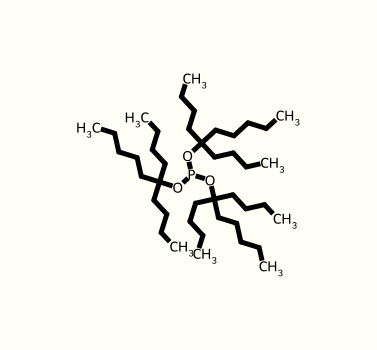 CCCCCC(CCCC)(CCCC)OP(OC(CCCC)(CCCC)CCCCC)OC(CCCC)(CCCC)CCCCC